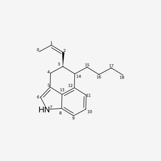 C/C=C\[C@@H]1Cc2c[nH]c3cccc(c23)C1CCCC